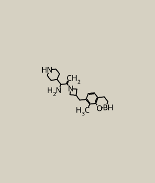 C=C(C(N)C1CCNCC1)N1CC(Cc2ccc3c(c2C)OBCC3)C1